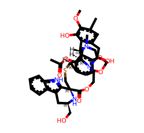 COc1c(C)cc2c(c1O)[C@H]1[C@@H]3[C@@H]4SC[C@]5(N[C@@H](CO)Cc6c5[nH]c5ccccc65)C(=O)OCC(c5c6c(c(C)c(OC(C)=O)c54)OCO6)N3C(O)(C2)CN1C